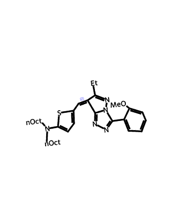 CCCCCCCCN(CCCCCCCC)c1ccc(/C=c2/c(CC)nn3c(-c4ccccc4OC)nnc23)s1